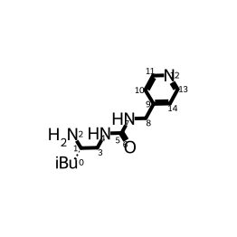 CCC(C)[C@H](N)CNC(=O)NCc1ccncc1